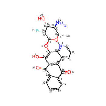 C[C@@H]1O[C@@H](Oc2c(O)c3c(c4cccnc24)C(=O)c2ccccc2C3=O)[C@H](F)[C@H](O)[C@H]1N